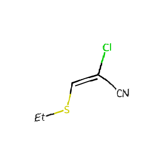 CCS/C=C(/Cl)C#N